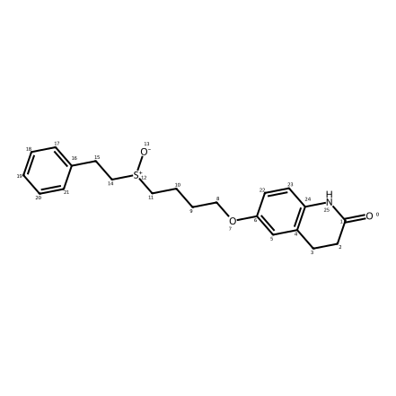 O=C1CCc2cc(OCCCC[S+]([O-])CCc3ccccc3)ccc2N1